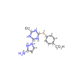 CCc1nc(Sc2ccc(C(=O)O)cc2)nc(-n2ccc(N)n2)n1